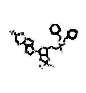 CN(C)/C=N\c1ncnc2c1ncn2C1OC(COP(=O)(OCc2ccccc2)OCc2ccccc2)C2OC(C)(C)OC21